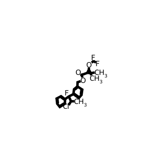 CC(Cl)C(F)(c1ccccc1)c1cccc(COC(=O)C2C(OC(F)F)C2(C)C)c1